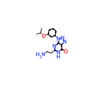 CC(C)Oc1cccc(-n2nnc3c(=O)[nH]c(CCN)nc32)c1